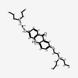 CCCN(CCC)CCOc1ccc2c(=O)c3cc(OCCN(CCC)CCC)ccc3[nH]c2c1